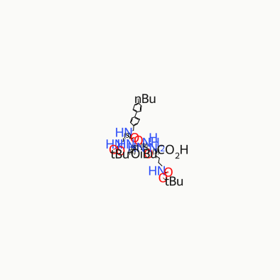 CCCCc1ccc(-c2ccc(CN[C@@H](CCNC(=O)OC(C)(C)C)C(=O)N[C@H](C(=O)N[C@@H](N)C(=O)N[C@@H](CCCCNC(=O)OC(C)(C)C)C(=O)O)[C@@H](C)OCC(C)C)cc2)cc1